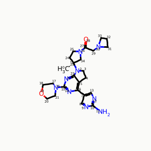 C[C@]1(N2CCc3c(-c4cnc(N)nc4)nc(N4CCOCC4)nc32)CCN(C(=O)CN2CCC2)C1